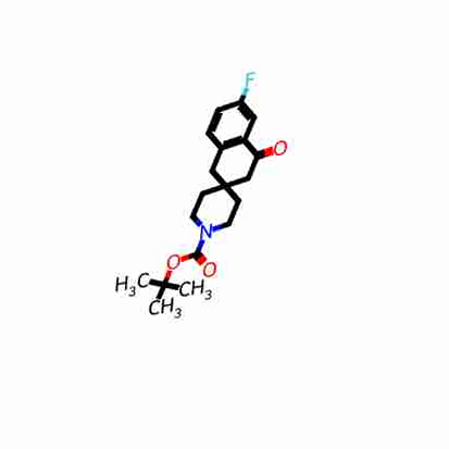 CC(C)(C)OC(=O)N1CCC2(CC1)CC(=O)c1cc(F)ccc1C2